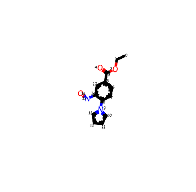 CCOC(=O)c1ccc(-n2cccc2)c(N=O)c1